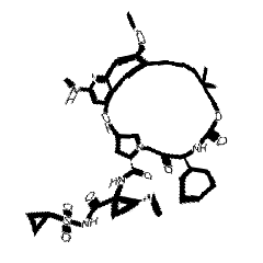 C=C[C@@H]1CC1(NC(=O)[C@@H]1C[C@@H]2CN1C(=O)[C@H](C1CCCCC1)NC(=O)OCC(C)(C)CCCc1cc3c(cc(NC)nc3cc1OC)O2)C(=O)NS(=O)(=O)C1CC1